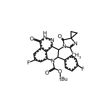 CC1=NC2(CC2)C(=O)N1C1c2n[nH]c(=O)c3cc(F)cc(c23)N(C(=O)OC(C)(C)C)C1c1ccc(F)cc1